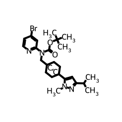 CC(C)c1cc(C23CCC(CN(C(=O)OC(C)(C)C)c4cc(Br)ccn4)(CC2)CC3)n(C)n1